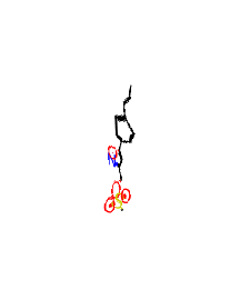 CCCc1ccc(-c2cc(COS(C)(=O)=O)no2)cc1